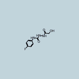 O=C(CO)NNC(=O)Nc1ccc(F)cc1